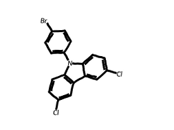 Clc1ccc2c(c1)c1cc(Cl)ccc1n2-c1ccc(Br)cc1